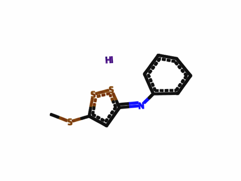 CSc1cc(=Nc2ccccc2)ss1.I